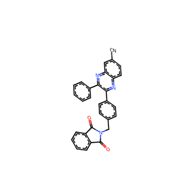 N#Cc1ccc2nc(-c3ccc(CN4C(=O)c5ccccc5C4=O)cc3)c(-c3ccccc3)nc2c1